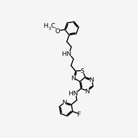 COc1ccccc1CCNCCc1nc2c(NCc3ncccc3F)ncnc2s1